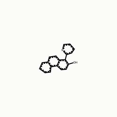 Oc1ccc2c(ccc3ccccc32)c1-c1ccccn1